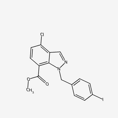 COC(=O)c1ccc(Cl)c2cnn(Cc3ccc(I)cc3)c12